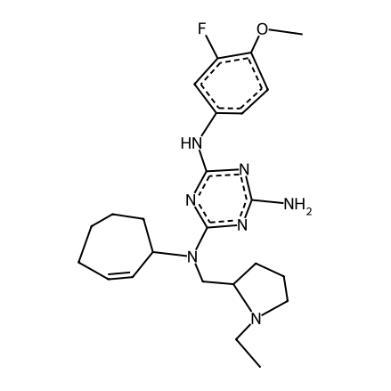 CCN1CCCC1CN(c1nc(N)nc(Nc2ccc(OC)c(F)c2)n1)C1C=CCCCC1